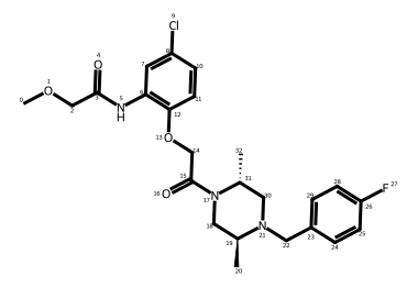 COCC(=O)Nc1cc(Cl)ccc1OCC(=O)N1C[C@H](C)N(Cc2ccc(F)cc2)C[C@H]1C